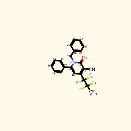 N#Cc1c(C(F)(F)C(F)(F)C(F)(F)F)cc(-c2ccccc2)n(Cc2ccccc2)c1=O